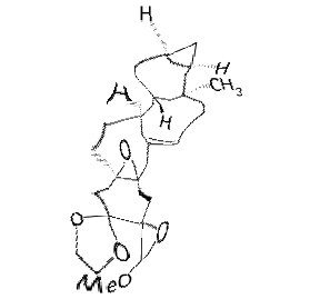 COC1OC12C[C@]13O[C@]1(CC[C@@H]1C3=CC[C@]3(C)[C@@H]4C[C@@H]4C[C@@H]13)CC21OCCO1